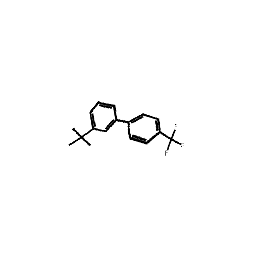 CC(C)(C)c1cccc(-c2ccc(C(F)(F)F)cc2)c1